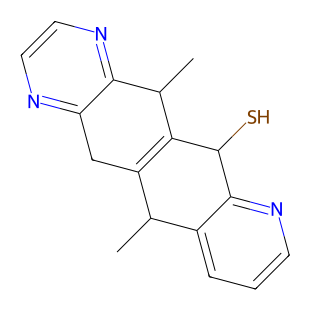 CC1C2=C(C(C)c3nccnc3C2)C(S)c2ncccc21